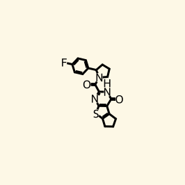 O=C(c1nc2sc3c(c2c(=O)[nH]1)CCC3)N1CCCC1c1ccc(F)cc1